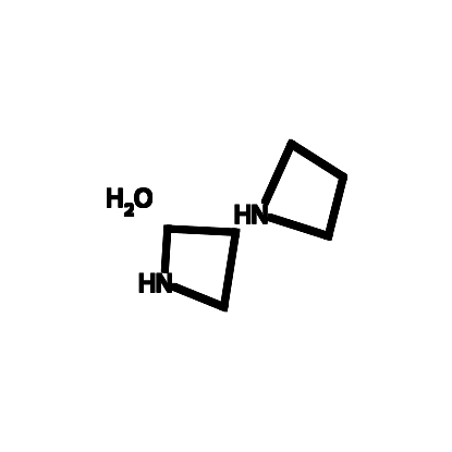 C1CNC1.C1CNC1.O